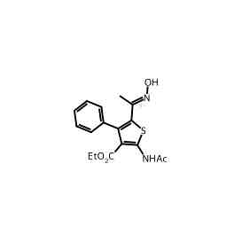 CCOC(=O)c1c(NC(C)=O)sc(/C(C)=N/O)c1-c1ccccc1